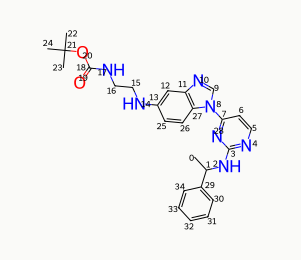 CC(Nc1nccc(-n2cnc3cc(NCCNC(=O)OC(C)(C)C)ccc32)n1)c1ccccc1